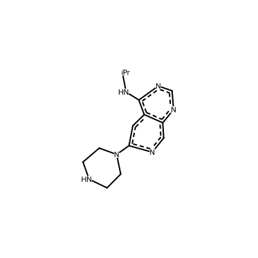 CC(C)Nc1ncnc2cnc(N3CCNCC3)cc12